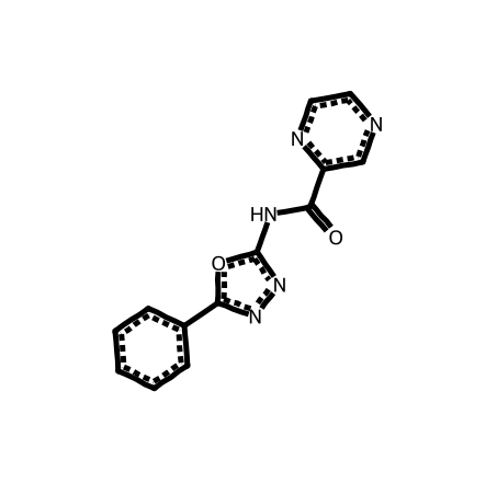 O=C(Nc1nnc(-c2ccccc2)o1)c1cnccn1